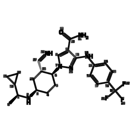 C[C@H](N[C@@H]1CC[C@H](n2cc(C(N)=O)c(Nc3ccc(C(F)(F)F)cc3)n2)[C@@H](C=N)C1)C1CC1